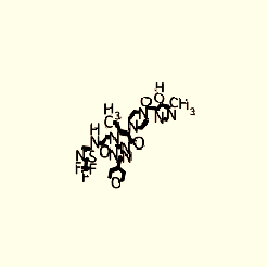 CCc1c(N2CCN(C(=O)c3ncnc(C)c3O)CC2)c(=O)n2nc(C3=CCOCC3)nc2n1CC(=O)Nc1cnc(C(F)(F)F)s1